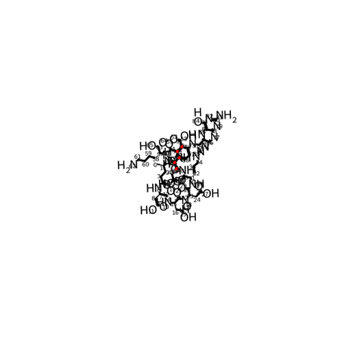 C[C@H](CCC(=O)N[C@H](CC(=O)O)C(=O)N[C@H](CC(=O)O)C(=O)N[C@H](CC(=O)O)C(=O)N[C@@H](CCCN=[N+]=[N-])C(=O)N[C@H](CC(=O)O)C(=O)N[C@H](CC(=O)O)C(=O)N[C@H](CCCCN)C(=O)O)NC(=O)c1ccc(NCc2cnc3nc(N)nc(O)c3n2)cc1